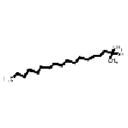 CCCCCCCCCCCCCCCCC(C)(C)S